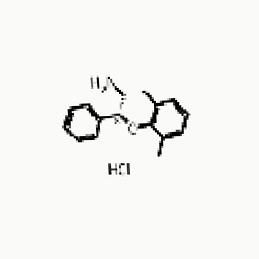 Cc1cccc(C)c1O[C@@H](CN)c1ccccc1.Cl